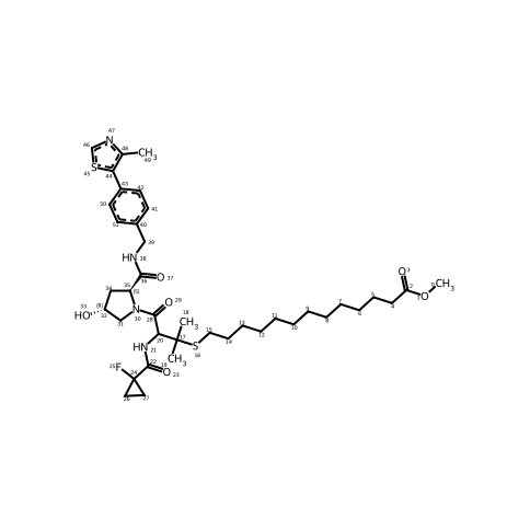 COC(=O)CCCCCCCCCCCCSC(C)(C)C(NC(=O)C1(F)CC1)C(=O)N1C[C@H](O)C[C@H]1C(=O)NCc1ccc(-c2scnc2C)cc1